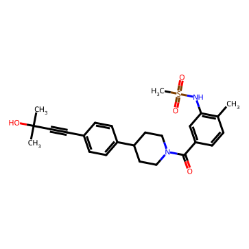 Cc1ccc(C(=O)N2CCC(c3ccc(C#CC(C)(C)O)cc3)CC2)cc1NS(C)(=O)=O